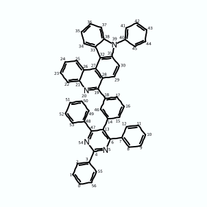 c1ccc(-c2nc(-c3ccccc3)c(-c3cccc(-c4nc5ccccc5c5c4ccc4c5c5ccccc5n4-c4ccccc4)c3)c(-c3ccccc3)n2)cc1